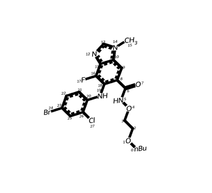 CCCCOCCONC(=O)c1cc2c(ncn2C)c(F)c1Nc1ccc(Br)cc1Cl